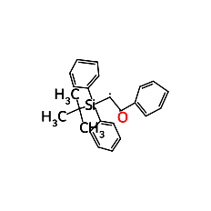 CC(C)(C)[Si]([CH]C(=O)c1ccccc1)(c1ccccc1)c1ccccc1